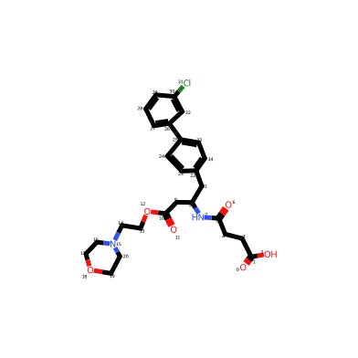 O=C(O)CCC(=O)NC(CC(=O)OCCN1CCOCC1)Cc1ccc(-c2cccc(Cl)c2)cc1